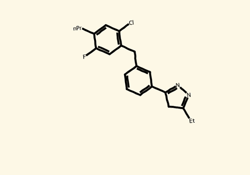 CCCc1cc(Cl)c(Cc2cccc(C3=NN=C(CC)C3)c2)cc1F